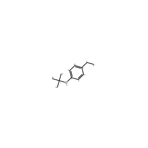 [CH2]Cc1ccc(OC(C)(C)C)cc1